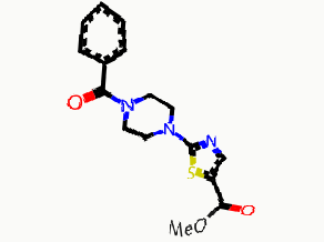 COC(=O)c1cnc(N2CCN(C(=O)c3ccccc3)CC2)s1